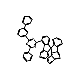 c1ccc(-c2cccc(-c3nc(-c4ccccc4)nc(-c4cccc5c4-c4ccccc4C54c5ccccc5-c5ccc6ccccc6c54)n3)c2)cc1